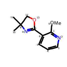 COc1ncccc1C1=NC(C)(C)CO1